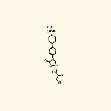 CCC(=S)NC[C@H]1CN(c2ccc(N3CCN(S(C)(=O)=O)CC3)cc2)C(=O)O1